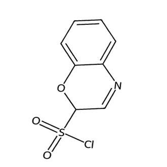 O=S(=O)(Cl)C1C=Nc2ccccc2O1